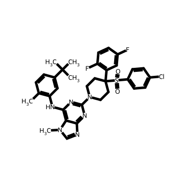 Cc1ccc(C(C)(C)C)cc1Nc1nc(N2CCC(c3cc(F)ccc3F)(S(=O)(=O)c3ccc(Cl)cc3)CC2)nc2ncn(C)c12